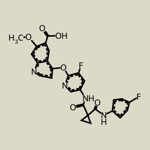 COc1cc2nccc(Oc3ncc(NC(=O)C4(C(=O)Nc5ccc(F)cc5)CC4)cc3F)c2cc1C(=O)O